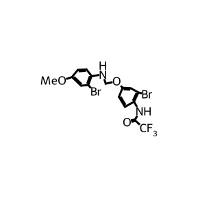 COc1ccc(NCOc2ccc(NC(=O)C(F)(F)F)c(Br)c2)c(Br)c1